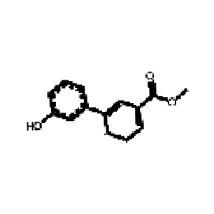 COC(=O)C1=CC[CH]C(c2cccc(O)c2)=C1